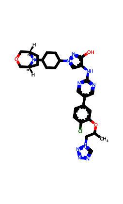 CC(Cn1cnnn1)Oc1cc(-c2cnc(Nc3cn(C4CCC(N5[C@@H]6CC[C@H]5COC6)CC4)nc3O)nc2)ccc1Cl